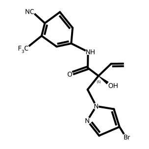 C=C[C@](O)(Cn1cc(Br)cn1)C(=O)Nc1ccc(C#N)c(C(F)(F)F)c1